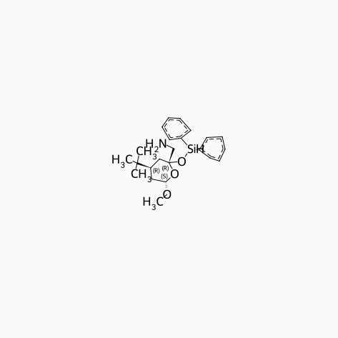 CO[C@@H]1C[C@@H](C(C)(C)C)C[C@](CN)(O[SiH](c2ccccc2)c2ccccc2)O1